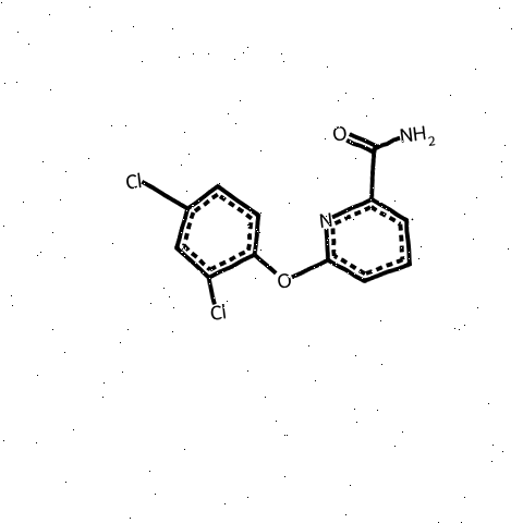 NC(=O)c1[c]ccc(Oc2ccc(Cl)cc2Cl)n1